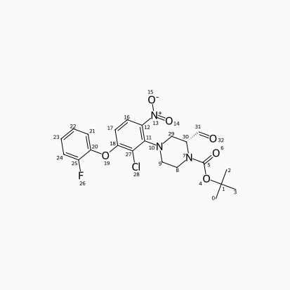 CC(C)(C)OC(=O)N1CCN(c2c([N+](=O)[O-])ccc(Oc3ccccc3F)c2Cl)C[C@@H]1C=O